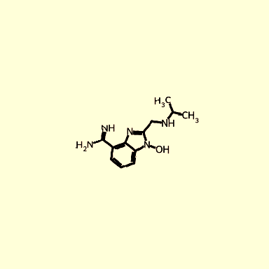 CC(C)NCc1nc2c(C(=N)N)cccc2n1O